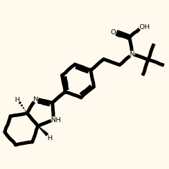 CC(C)(C)N(CCc1ccc(C2=N[C@@H]3CCCC[C@H]3N2)cc1)C(=O)O